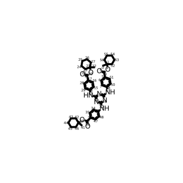 CC1(OC(=O)c2ccc(Nc3nc(Nc4ccc(C(=O)OC5(C)CCCCC5)cc4)nc(Nc4ccc(C(=O)OC5(C)CCCCC5)cc4)n3)cc2)CCCCC1